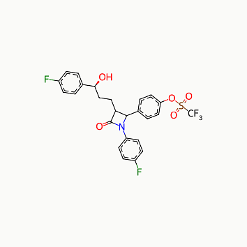 O=C1C(CC[C@H](O)c2ccc(F)cc2)C(c2ccc(OS(=O)(=O)C(F)(F)F)cc2)N1c1ccc(F)cc1